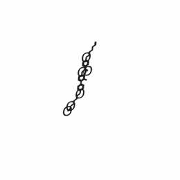 C=CCCCCOc1ccc(C(=O)Oc2ccc(-c3ccc(OCCCCOC=O)cc3)c(C)c2)cc1